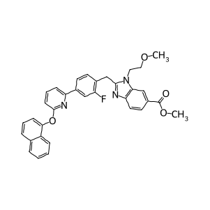 COCCn1c(Cc2ccc(-c3cccc(Oc4cccc5ccccc45)n3)cc2F)nc2ccc(C(=O)OC)cc21